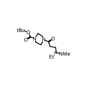 CC[C@H](CCC(=O)N1CCN(C(=O)OC(C)(C)C)CC1)NC